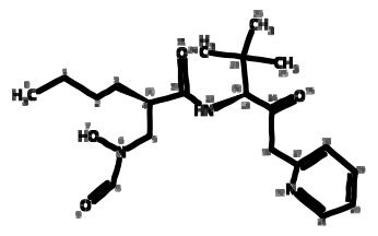 CCCC[C@H](CN(O)C=O)C(=O)N[C@H](C(=O)Cc1ccccn1)C(C)(C)C